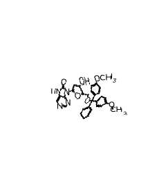 COc1ccc(C(OC[C@H]2O[C@@H](n3c(=O)[nH]c4cncnc43)C[C@@H]2O)(c2ccccc2)c2ccc(OC)cc2)cc1